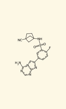 N#CC12CCC(NS(=O)(=O)c3cc(-c4cn5c(N)ncnc5n4)ccc3F)(C1)C2